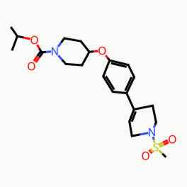 CC(C)OC(=O)N1CCC(Oc2ccc(C3=CCN(S(C)(=O)=O)CC3)cc2)CC1